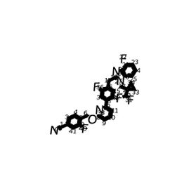 N#Cc1ccc(COc2cccc(-c3ccc(Cc4nc5c(F)cccc5n4CC4(C(F)F)CC4)c(F)c3)n2)c(F)c1